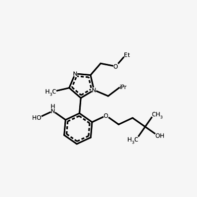 CCOCc1nc(C)c(-c2c(NO)cccc2OCCC(C)(C)O)n1CC(C)C